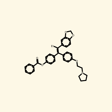 CC/C(=C(/c1ccc(OCCN2CCCC2)cc1)c1ccc(OC(=O)c2ccccc2)cc1)c1ccc2c(c1)OCO2